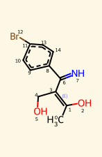 C/C(O)=C(\CO)C(=N)c1ccc(Br)cc1